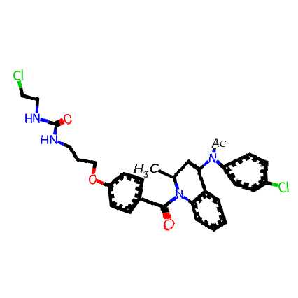 CC(=O)N(c1ccc(Cl)cc1)C1CC(C)N(C(=O)c2ccc(OCCCNC(=O)NCCCl)cc2)c2ccccc21